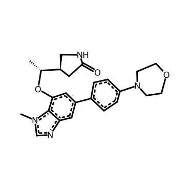 C[C@@H](Oc1cc(-c2ccc(N3CCOCC3)cc2)cc2ncn(C)c12)[C@H]1CNC(=O)C1